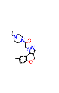 CCN1CCN(C(=O)Cn2ncc3c2-c2cc(C)ccc2OC3)CC1